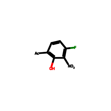 CC(=O)c1ccc(F)c([N+](=O)[O-])c1O